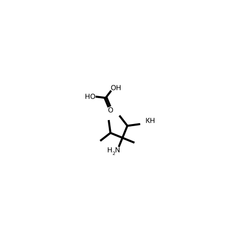 CC(C)C(C)(N)C(C)C.O=C(O)O.[KH]